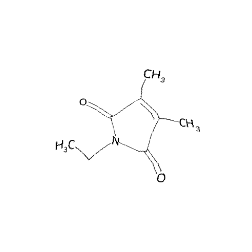 CCN1C(=O)C(C)=C(C)C1=O